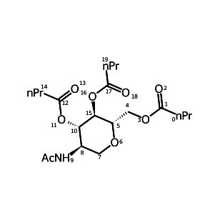 CCCC(=O)OC[C@@H]1OC[C@@H](NC(C)=O)[C@H](OC(=O)CCC)[C@H]1OC(=O)CCC